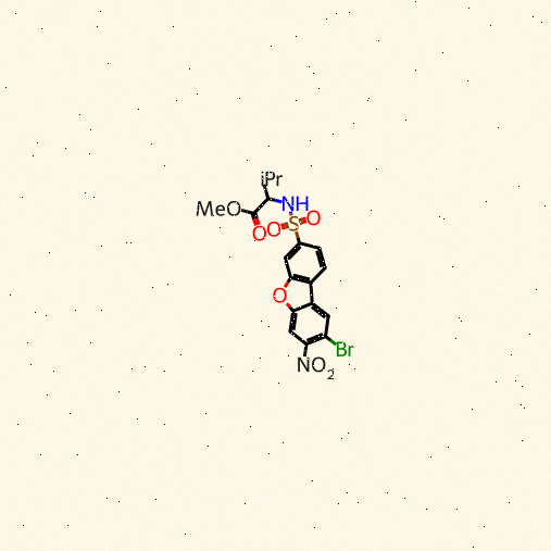 COC(=O)C(NS(=O)(=O)c1ccc2c(c1)oc1cc([N+](=O)[O-])c(Br)cc12)C(C)C